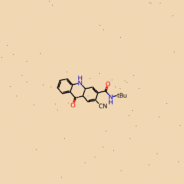 CC(C)(C)NC(=O)C1=CC2Nc3ccccc3C(=O)C2C=C1C#N